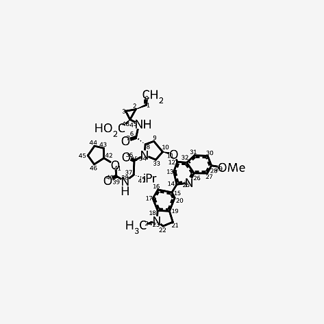 C=C[C@@H]1C[C@]1(NC(=O)[C@@H]1C[C@@H](Oc2cc(-c3ccc4c(c3)CCN4C)nc3cc(OC)ccc23)CN1C(=O)[C@@H](NC(=O)OC1CCCC1)C(C)C)C(=O)O